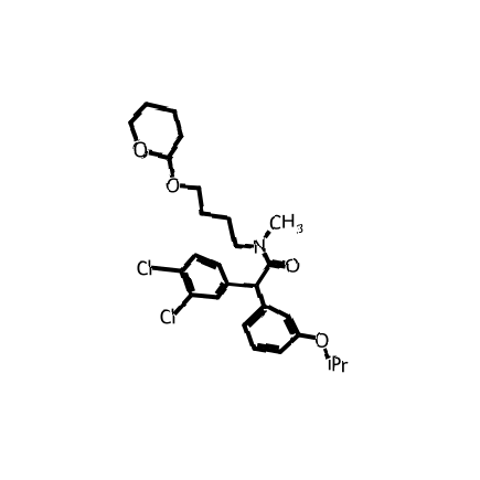 CC(C)Oc1cccc(C(C(=O)N(C)CCCCOC2CCCCO2)c2ccc(Cl)c(Cl)c2)c1